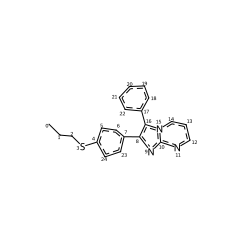 CCCSc1ccc(-c2nc3ncccn3c2-c2ccccc2)cc1